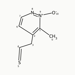 Cc1c(C[C]=S)ccn[n+]1[O-]